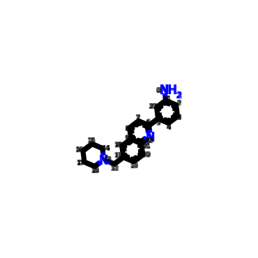 Nc1cccc(-c2ccc3cc(CN4CCCCC4)ccc3n2)c1